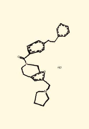 Cl.O=C(c1ccc(CCc2ccccc2)cc1)N1CCc2cc(CN3CCCC3)oc2C1